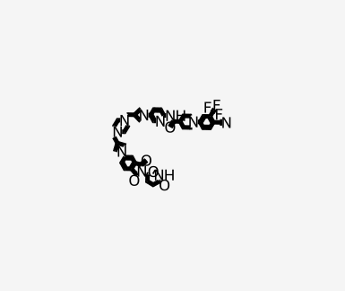 N#Cc1ccc(N2CCC(C(=O)Nc3ccc(N4CC(CN5CCN(CC6CN(c7ccc8c(c7)C(=O)N(C7CCC(=O)NO7)C8=O)C6)CC5)C4)cn3)CC2)cc1C(F)(F)F